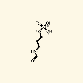 O=CNCCCOP(=O)(O)O